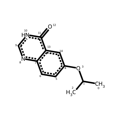 CC(C)Oc1ccc2nc[nH]c(=O)c2c1